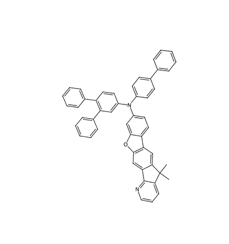 CC1(C)c2cc3c(cc2-c2ncccc21)oc1cc(N(c2ccc(-c4ccccc4)cc2)c2ccc(-c4ccccc4)c(-c4ccccc4)c2)ccc13